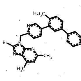 CCc1nc2c(C)cc(C)nc2n1Cc1ccc(-c2cc(-c3ccccc3)ccc2C(=O)O)cn1